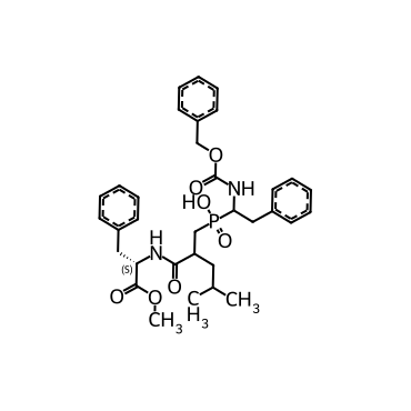 COC(=O)[C@H](Cc1ccccc1)NC(=O)C(CC(C)C)CP(=O)(O)C(Cc1ccccc1)NC(=O)OCc1ccccc1